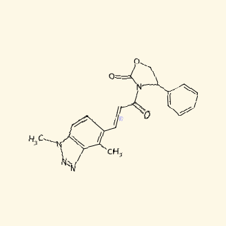 Cc1c(/C=C/C(=O)N2C(=O)OCC2c2ccccc2)ccc2c1nnn2C